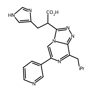 CC(C)Cc1nc(-c2cccnc2)cn2c(C(Cc3c[nH]cn3)C(=O)O)nnc12